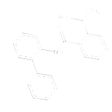 CC(C)c1ccccc1C(=O)Nc1[c]cccc1-c1ccccc1